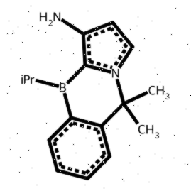 CC(C)B1c2ccccc2C(C)(C)n2ccc(N)c21